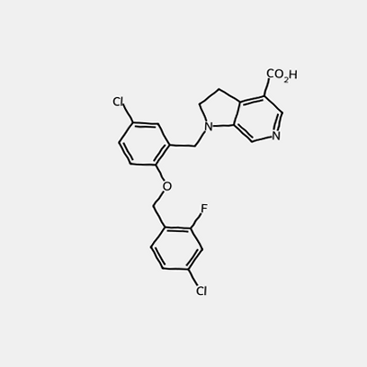 O=C(O)c1cncc2c1CCN2Cc1cc(Cl)ccc1OCc1ccc(Cl)cc1F